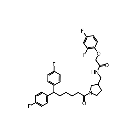 O=C(COc1ccc(F)cc1F)NCC1CCN(C(=O)CCCCC(c2ccc(F)cc2)c2ccc(F)cc2)C1